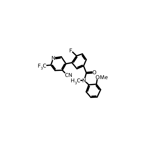 COc1ccccc1N(C)C(=O)c1ccc(F)c(-c2cnc(C(F)(F)F)cc2C#N)c1